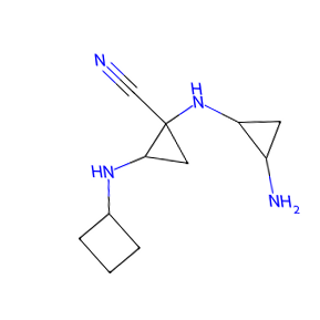 N#CC1(NC2CC2N)CC1NC1CCC1